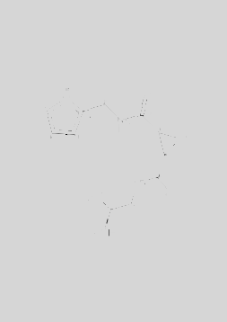 CC(C)COC(=O)C1OC1C(=O)NCc1ccco1